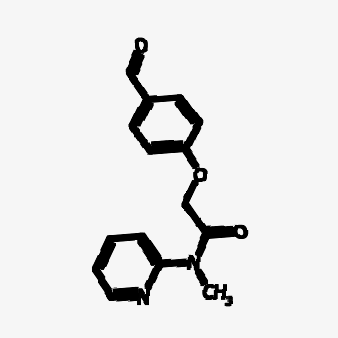 CN(C(=O)COc1ccc(C=O)cc1)c1ccccn1